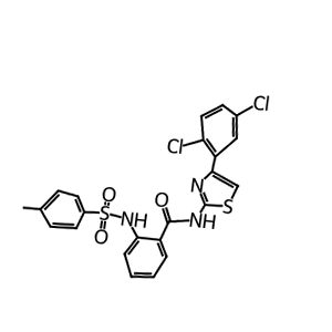 Cc1ccc(S(=O)(=O)Nc2ccccc2C(=O)Nc2nc(-c3cc(Cl)ccc3Cl)cs2)cc1